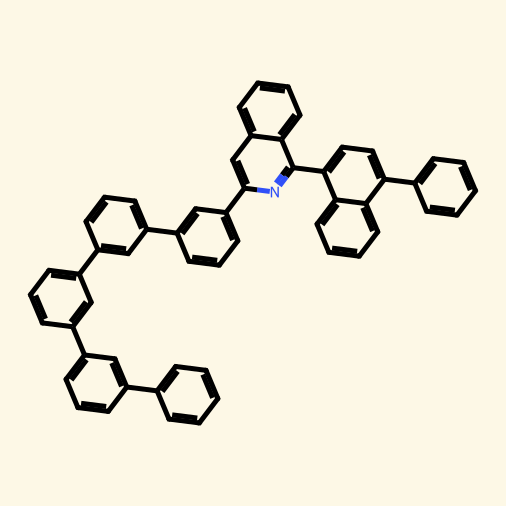 c1ccc(-c2cccc(-c3cccc(-c4cccc(-c5cccc(-c6cc7ccccc7c(-c7ccc(-c8ccccc8)c8ccccc78)n6)c5)c4)c3)c2)cc1